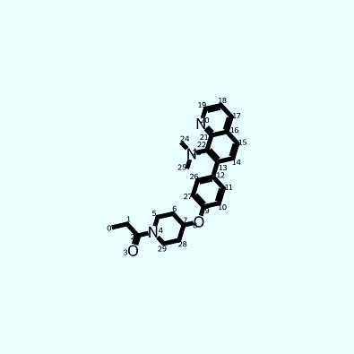 CCC(=O)N1CCC(Oc2ccc(-c3ccc4cccnc4c3N(C)C)cc2)CC1